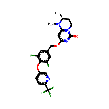 C[C@H]1CCn2c(cc(OCc3cc(F)c(Oc4ccc(C(F)(F)F)nc4)c(F)c3)nc2=O)N1C